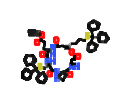 CC(C)(C)OC(=O)CC[C@H]1NC(=O)C[C@H](C=CCCSC(c2ccccc2)(c2ccccc2)c2ccccc2)OC(=O)CNC(=O)C2(CCC2)NC(=O)[C@H](CSC(c2ccccc2)(c2ccccc2)c2ccccc2)NC1=O